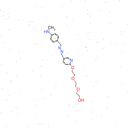 CNc1ccc(/C=N/N=C/c2ccc(OCCOCCOCCO)nc2)cc1